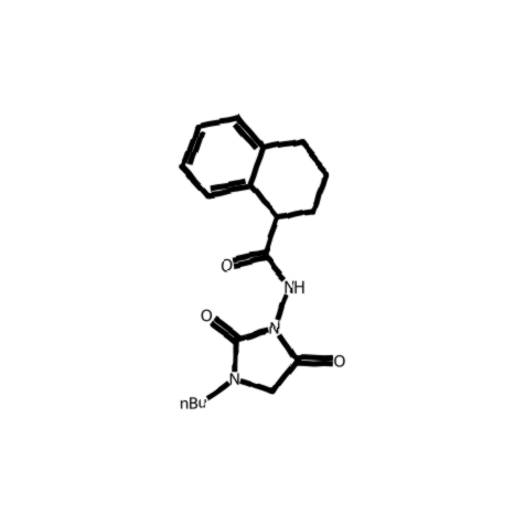 CCCCN1CC(=O)N(NC(=O)C2CCCc3ccccc32)C1=O